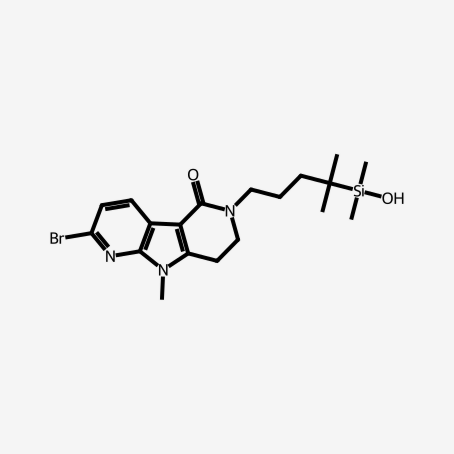 Cn1c2c(c3ccc(Br)nc31)C(=O)N(CCCC(C)(C)[Si](C)(C)O)CC2